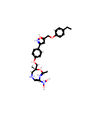 CCc1ccc(OCc2cc(-c3ccc(OC[C@@]4(C)CN/C=C([N+](=O)[O-])\N=C(/C)O4)cc3)no2)cc1